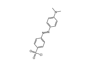 CN(C)c1ccc(N=Nc2ccc(S(=O)(=O)Cl)cc2)cc1